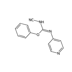 N#CN/C(=N/c1ccncc1)Oc1ccccc1